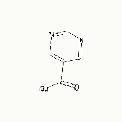 CCC(C)C(=O)c1cncnc1